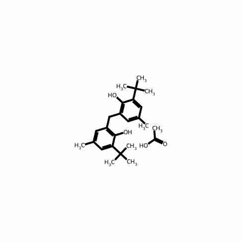 CC(=O)O.Cc1cc(Cc2cc(C)cc(C(C)(C)C)c2O)c(O)c(C(C)(C)C)c1